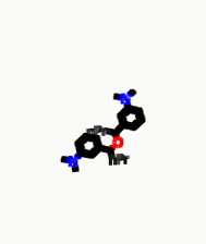 CCCC(OC(CCC)c1cccc(N(C)C)c1)c1cccc(N(C)C)c1